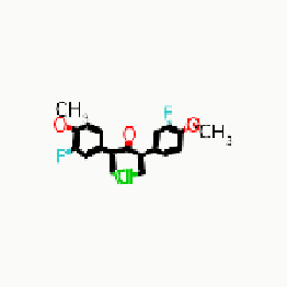 COc1ccc(/C(=C/Cl)C(=O)/C(=C\Cl)c2ccc(OC)c(F)c2)cc1F